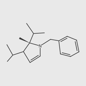 CC(C)C1C=CN(Cc2ccccc2)[C@@]1(C)C(C)C